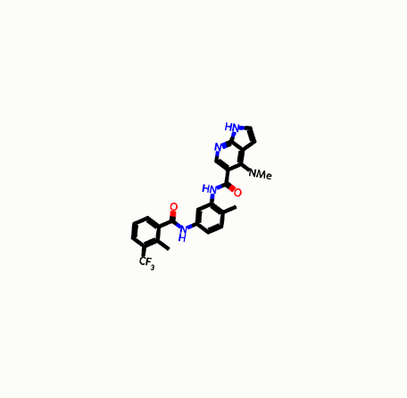 CNc1c(C(=O)Nc2cc(NC(=O)c3cccc(C(F)(F)F)c3C)ccc2C)cnc2[nH]ccc12